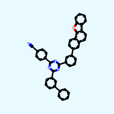 N#Cc1ccc(-c2nc(-c3cccc(-c4ccccc4)c3)nc(-c3cccc(-c4ccc5c(ccc6c7ccccc7oc56)c4)c3)n2)cc1